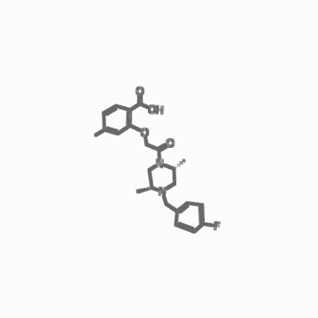 Cc1ccc(C(=O)O)c(OCC(=O)N2C[C@H](C)N(Cc3ccc(F)cc3)C[C@H]2C)c1